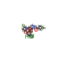 Cl.O=C(CN1CCC(CN2c3cc(F)ccc3Oc3ccc(Cl)cc3S2(=O)=O)CC1)c1ccc(F)cc1